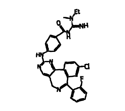 CCN(C)C(=N)NC(=O)c1ccc(Nc2ncc3c(n2)-c2ccc(Cl)cc2C(c2ccccc2F)=NC3)cc1